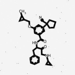 CC1CC1COc1cc(C(=O)NC(Cc2ccccc2)C(=O)CNC2CC2)cc(C2(C#N)CCCC2)c1